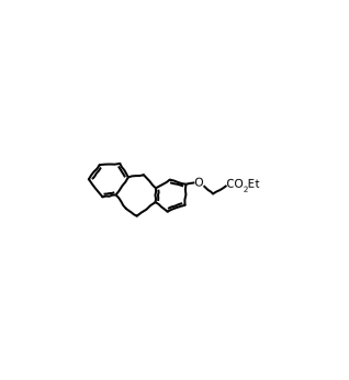 CCOC(=O)COc1ccc2c(c1)Cc1ccccc1CC2